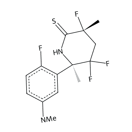 CNc1ccc(F)c([C@@]2(C)NC(=S)[C@](C)(F)CC2(F)F)c1